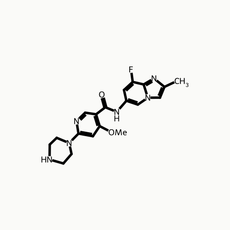 COc1cc(N2CCNCC2)ncc1C(=O)Nc1cc(F)c2nc(C)cn2c1